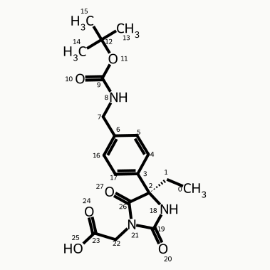 CC[C@]1(c2ccc(CNC(=O)OC(C)(C)C)cc2)NC(=O)N(CC(=O)O)C1=O